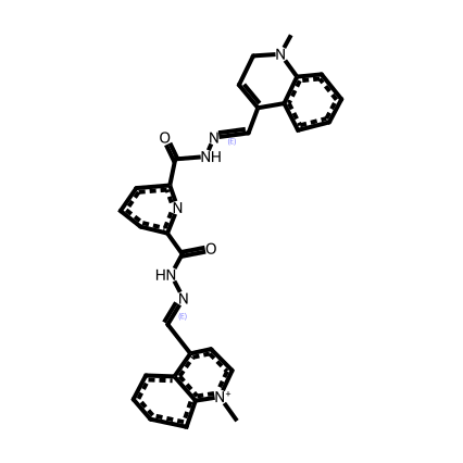 CN1CC=C(/C=N/NC(=O)c2cccc(C(=O)N/N=C/c3cc[n+](C)c4ccccc34)n2)c2ccccc21